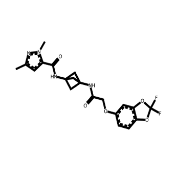 Cc1cc(C(=O)NC23CC(NC(=O)COc4ccc5c(c4)OC(F)(F)O5)(C2)C3)n(C)n1